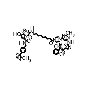 Cc1nc(Nc2ncc(C(=O)Nc3c(C)cccc3Cl)s2)cc(N2CCN(C(=O)CCCCCCCCNC(C(=O)N3C[C@H](O)C[C@H]3C(=O)NCc3ccc(-c4scnc4C)cc3)C(C)(C)C)CC2)n1